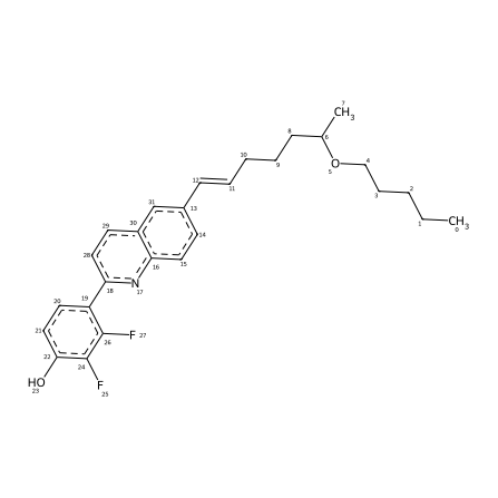 CCCCCOC(C)CCC/C=C/c1ccc2nc(-c3ccc(O)c(F)c3F)ccc2c1